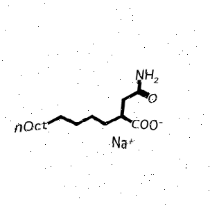 CCCCCCCCCCCCC(CC(N)=O)C(=O)[O-].[Na+]